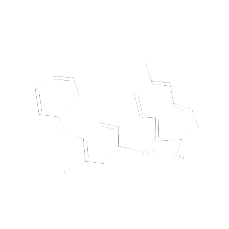 N#Cc1cnc2cc(I)ccc2c1Nc1ccc(Sc2ccccc2)c(Cl)c1